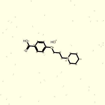 Cl.O=C(O)c1ccc(OCCCN2CCCCC2)cc1